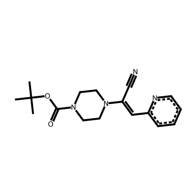 CC(C)(C)OC(=O)N1CCN(C(C#N)=Cc2ccccn2)CC1